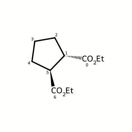 CCOC(=O)[C@H]1CCC[C@@H]1C(=O)OCC